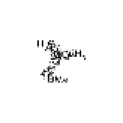 COc1cccc(C=Cc2ccc(N(c3ccc(C)cc3)c3ccc(C)cc3)cc2)c1